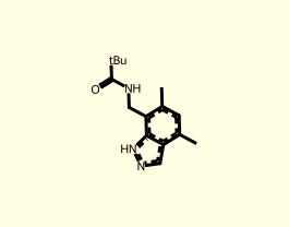 Cc1cc(C)c2cn[nH]c2c1CNC(=O)C(C)(C)C